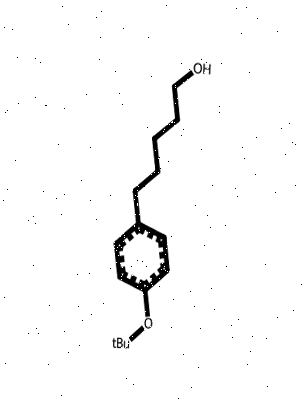 CC(C)(C)Oc1ccc(CCCCCO)cc1